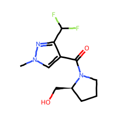 Cn1cc(C(=O)N2CCC[C@H]2CO)c(C(F)F)n1